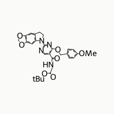 COc1ccc(COc2nc(N3CCc4cc5c(cc43)OCO5)ncc2C(=O)NCC(=O)OC(C)(C)C)cc1